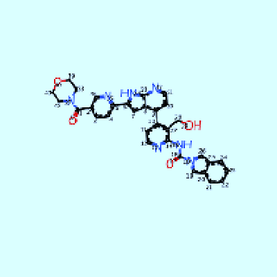 O=C(c1ccc(-c2cc3c(-c4ccnc(NC(=O)n5cc6ccccc6c5)c4CO)ccnc3[nH]2)nc1)N1CCOCC1